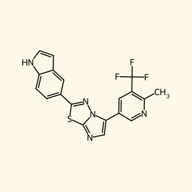 Cc1ncc(-c2cnc3sc(-c4ccc5[nH]ccc5c4)nn23)cc1C(F)(F)F